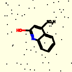 O=S(=O)(O)c1cc(O)nc2ccccc12